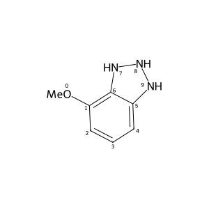 COc1cccc2c1NNN2